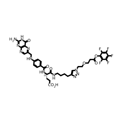 Nc1nc2ncc(CNc3ccc(C(=O)N[C@@H](CCC(=O)O)C(=O)NCCCCc4cn(CCOCCC(=O)Oc5c(F)c(F)c(F)c(F)c5F)nn4)cc3)nc2c(=O)[nH]1